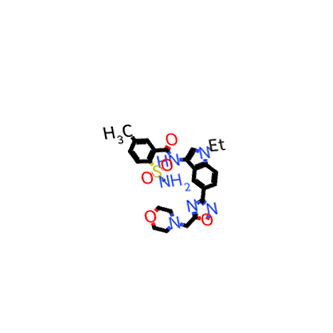 CCn1cc(NC(=O)c2cc(C)ccc2S(N)(=O)=O)c2cc(-c3noc(CN4CCOCC4)n3)ccc21